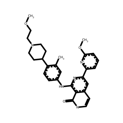 COCCN1CCC(c2ccc(Nc3nc(-c4cccc(OC)n4)cc4c3C(=O)[N]C=C4)cc2C)CC1